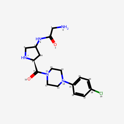 NCC(=O)NC1CN[C@H](C(=O)N2CCN(c3ccc(Cl)cc3)CC2)C1